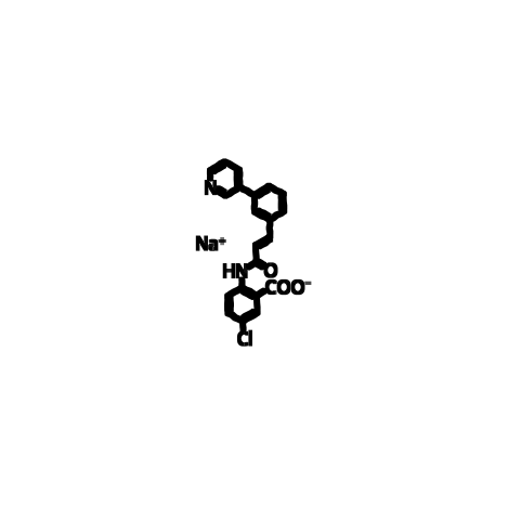 O=C(C=Cc1cccc(-c2cccnc2)c1)Nc1ccc(Cl)cc1C(=O)[O-].[Na+]